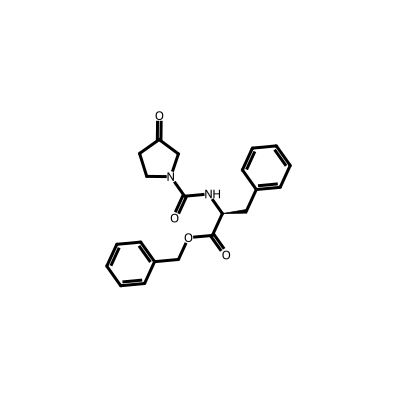 O=C1CCN(C(=O)N[C@@H](Cc2ccccc2)C(=O)OCc2ccccc2)C1